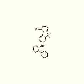 CC(C)c1cccc2c1-c1ccc(Nc3ccccc3-c3ccccc3)cc1C2(C)C